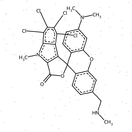 CNCc1ccc2c(c1)Oc1cc(N(C)C)ccc1C21OC(=O)c2c1c1c(Cl)c(Cl)c(Cl)c(Cl)c1n2C